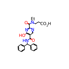 CCN(CCC(=O)O)C(=O)c1ncc(C(=O)NC(c2ccccc2)c2ccccc2)c(O)n1